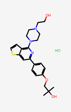 CC(C)(O)COc1ccc(-c2cc3sccc3c(N3CCN(CCO)CC3)n2)cc1.Cl